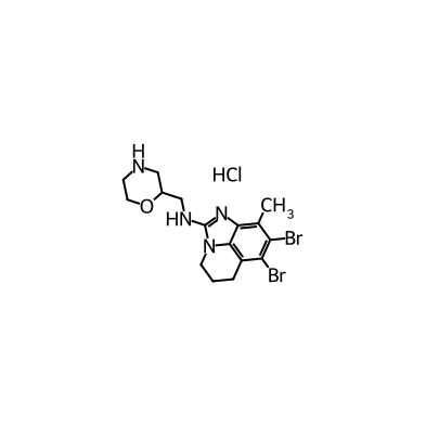 Cc1c(Br)c(Br)c2c3c1nc(NCC1CNCCO1)n3CCC2.Cl